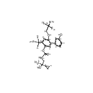 CC(O)(CNC(=O)Oc1nc(-c2cccc(Cl)c2)c(OCC(F)(F)F)nc1C(F)(F)F)C1CC1